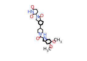 COc1cc2cc(C(=O)N3CCC(c4ccc5c(c4)CN(C4CCC(=O)NC4=O)C5=O)CC3)[nH]c2cc1OC